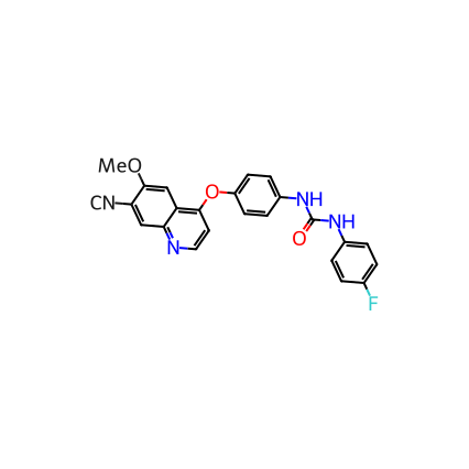 [C-]#[N+]c1cc2nccc(Oc3ccc(NC(=O)Nc4ccc(F)cc4)cc3)c2cc1OC